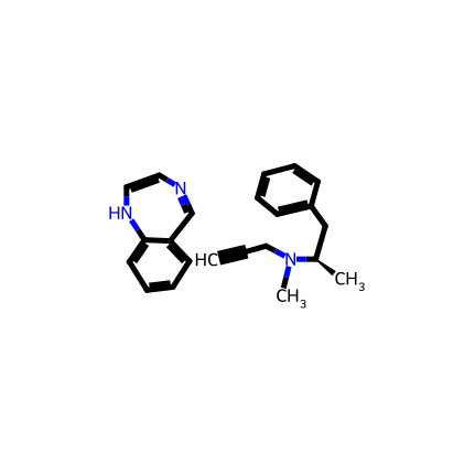 C#CCN(C)[C@H](C)Cc1ccccc1.C1=CNc2ccccc2C=N1